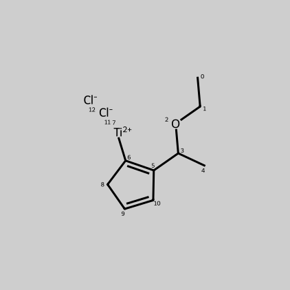 CCOC(C)C1=[C]([Ti+2])CC=C1.[Cl-].[Cl-]